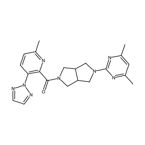 Cc1cc(C)nc(N2CC3CN(C(=O)c4nc(C)ccc4-n4nccn4)CC3C2)n1